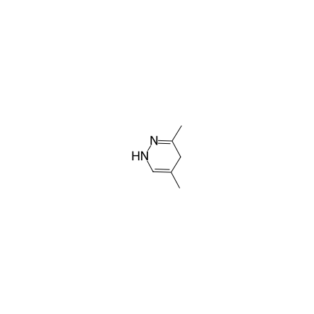 CC1=CNN=C(C)C1